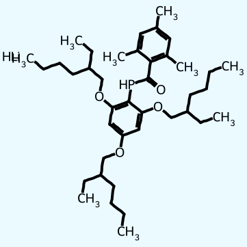 CCCCC(CC)COc1cc(OCC(CC)CCCC)c(PC(=O)c2c(C)cc(C)cc2C)c(OCC(CC)CCCC)c1.[LiH]